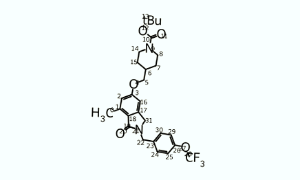 Cc1cc(OCC2CCN(C(=O)OC(C)(C)C)CC2)cc2c1C(=O)N(Cc1ccc(OC(F)(F)F)cc1)C2